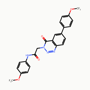 O=C(Cn1nnc2ccc(-c3ccc(OC(F)(F)F)cc3)cc2c1=O)Nc1ccc(OC(F)(F)F)cc1